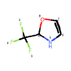 FC(F)(F)C1NC=[C]O1